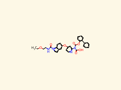 CCOCCNC(=O)n1ccc2cc(Oc3ccnc(N(C(=O)O)C(=O)Oc4ccccc4-c4ccccc4)c3)ccc21